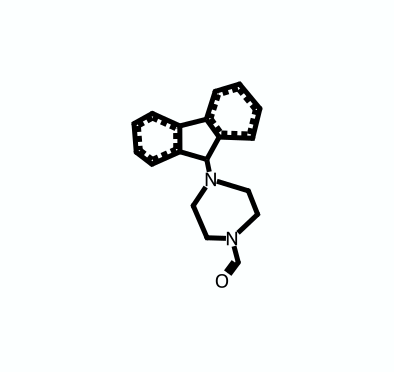 O=CN1CCN(C2c3ccccc3-c3ccccc32)CC1